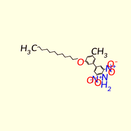 CCCCCCCCCCCCOc1cc(C)cc(-c2cc([N+](=O)[O-])c(N)c([N+](=O)[O-])c2)c1